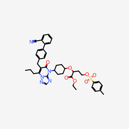 CCCc1c(Cc2ccc(-c3ccccc3C#N)cc2)c(=O)n(C2CCC(OC(CCOS(=O)(=O)c3ccc(C)cc3)C(=O)OCC)CC2)c2ncnn12